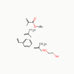 C=C(C)C(=O)O.C=C(C)C(=O)O.C=C(C)C(=O)OCCCC.C=Cc1ccccc1.OCCO